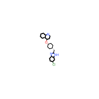 Clc1ccc2nc(C[C@H]3CC[C@@H](Oc4ccnc5ccccc45)CC3)[nH]c2c1